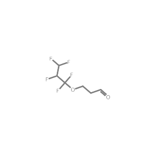 O=CCCOC(F)(F)C(F)C(F)F